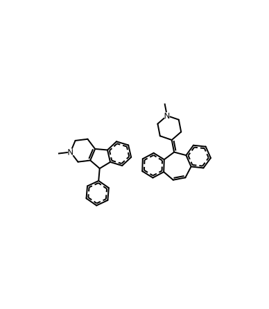 CN1CCC(=C2c3ccccc3C=Cc3ccccc32)CC1.CN1CCC2=C(C1)C(c1ccccc1)c1ccccc12